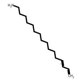 C=C/C=C/CCCCCCCCCCCCN